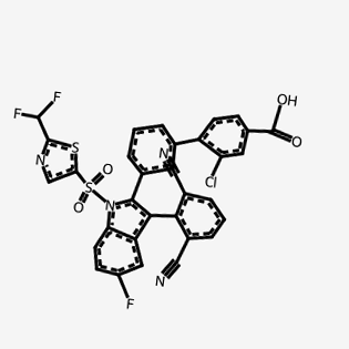 N#Cc1cccc(C#N)c1-c1c(-c2cccc(-c3ccc(C(=O)O)cc3Cl)c2)n(S(=O)(=O)c2cnc(C(F)F)s2)c2ccc(F)cc12